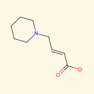 [O]C(=O)/C=C/CN1CCCCC1